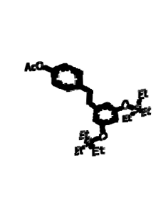 CC[Si](CC)(CC)Oc1cc(/C=C/c2ccc(OC(C)=O)cc2)cc(O[Si](CC)(CC)CC)c1